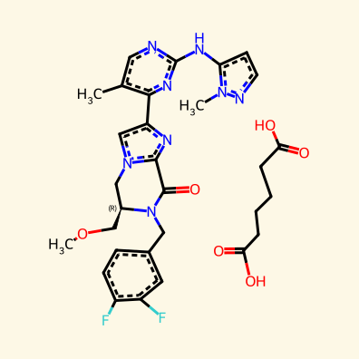 COC[C@H]1Cn2cc(-c3nc(Nc4ccnn4C)ncc3C)nc2C(=O)N1Cc1ccc(F)c(F)c1.O=C(O)CCCCC(=O)O